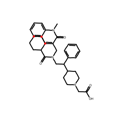 Cn1c(=O)c(CN(CC(c2ccccc2)C2CCN(CC(=O)O)CC2)C(=O)C2CCCCC2)cc2ccccc21